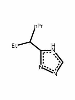 CCCC(CC)c1nnc[nH]1